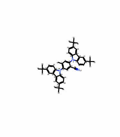 Cc1cc(-n2c3ccc(C(C)(C)C)cc3c3cc(C(C)(C)C)ccc32)c(C#N)cc1-n1c2ccc(C(C)(C)C)cc2c2cc(C(C)(C)C)ccc21